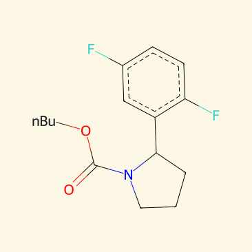 CCCCOC(=O)N1CCCC1c1cc(F)ccc1F